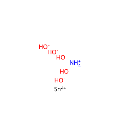 [NH4+].[OH-].[OH-].[OH-].[OH-].[OH-].[Sn+4]